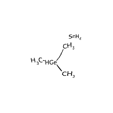 [CH3][GeH]([CH3])[CH3].[SnH4]